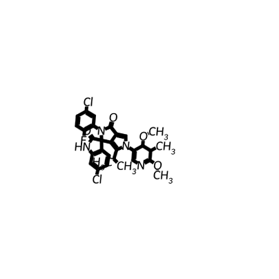 COC1=NC=C(n2cc3c(c2C(C)C)C2(C(=O)Nc4cc(Cl)ccc42)N(c2cc(Cl)ccc2F)C3=O)C(OC)C1C